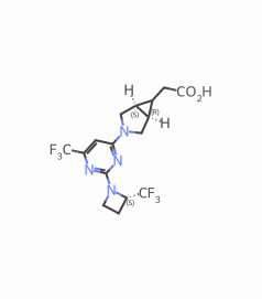 O=C(O)CC1[C@H]2CN(c3cc(C(F)(F)F)nc(N4CC[C@H]4C(F)(F)F)n3)C[C@@H]12